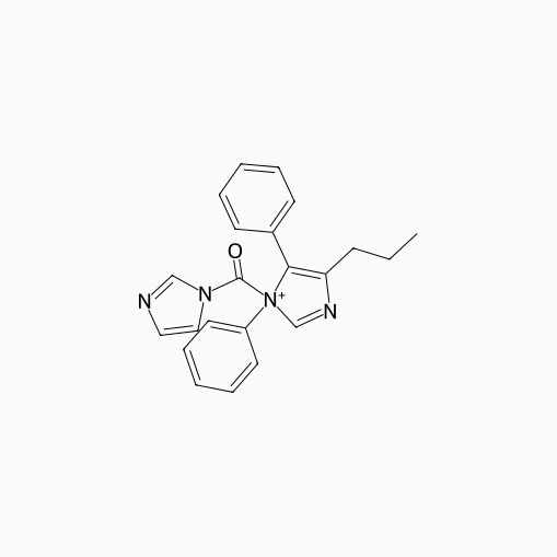 CCCC1=C(c2ccccc2)[N+](C(=O)n2ccnc2)(c2ccccc2)C=N1